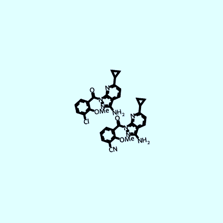 COc1c(C#N)cccc1C(=O)n1nc(N)c2ccc(C3CC3)nc21.COc1c(Cl)cccc1C(=O)n1nc(N)c2ccc(C3CC3)nc21